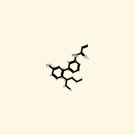 C=CC(=O)Nc1cccc(-c2cc(Cl)ccc2C(CC)CCC)c1